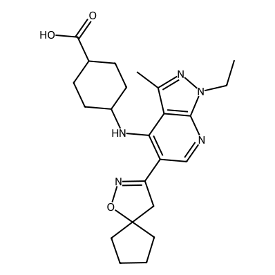 CCn1nc(C)c2c(NC3CCC(C(=O)O)CC3)c(C3=NOC4(CCCC4)C3)cnc21